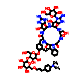 CC(c1ccccc1)C1NC(=O)CNC(=O)C(CO)NC(=O)C(C(O)C2CNC(=N)N2C2OC(CO)C(O)C(O)C2O)NC(=O)C(C(O)C2CNC(=N)N2)NC(=O)C(Cc2ccc(OC3OC(CO)C(OC4OC(COC/C=C/c5ccc(N(C)C)cc5)C(O)C(O)C4O)C(O)C3O)cc2)NC1=O